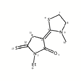 CCN1C(=O)C(=C2SCCN2C)SC1=S